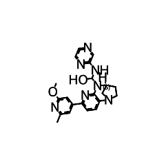 COc1cc(-c2ccc3c(n2)N(C(O)Nc2cnccn2)[C@H]2CCN3C2)cc(C)n1